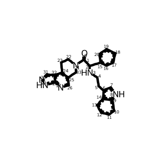 O=C(C(NCCc1c[nH]c2ccccc12)c1ccccc1)N1CCc2c(cnc3[nH]ncc23)C1